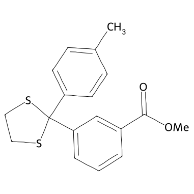 COC(=O)c1cccc(C2(c3ccc(C)cc3)SCCS2)c1